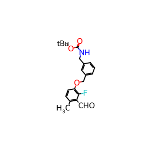 Cc1ccc(OCc2cccc(CNC(=O)OC(C)(C)C)c2)c(F)c1C=O